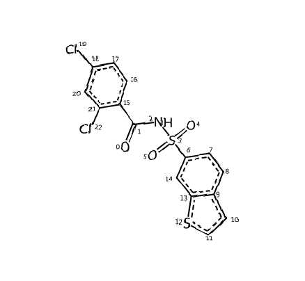 O=C(NS(=O)(=O)c1ccc2ccsc2c1)c1ccc(Cl)cc1Cl